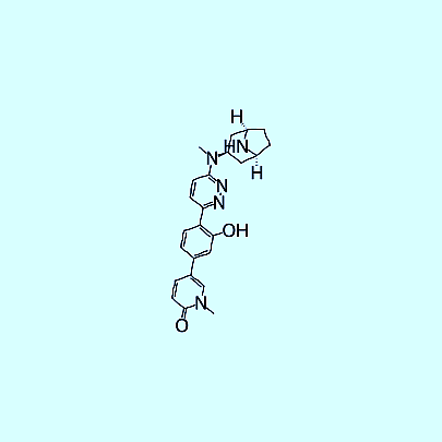 CN(c1ccc(-c2ccc(-c3ccc(=O)n(C)c3)cc2O)nn1)[C@H]1C[C@H]2CC[C@@H](C1)N2